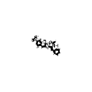 CC(=O)NC(=Cc1ccccc1)C1=NC(=Cc2ccc([N+](=O)[O-])cc2)C(=O)O1